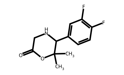 CC1(C)OC(=O)CNC1c1ccc(F)c(F)c1